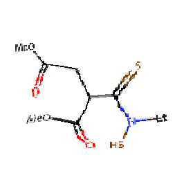 CCN(S)C(=S)C(CC(=O)OC)C(=O)OC